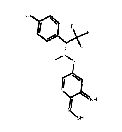 CN(SC1=CC(=N)/C(=N\S)N=C1)[C@H](c1ccc(Cl)cc1)C(F)(F)F